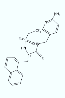 Nc1ccc(CNC(=O)[C@H](Cc2cccc3ccccc23)NS(=O)(=O)CC(F)(F)F)cn1